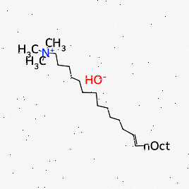 CCCCCCCCC=CCCCCCCCCCCCC[N+](C)(C)C.[OH-]